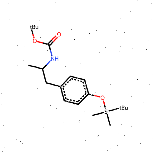 CC(Cc1ccc(O[Si](C)(C)C(C)(C)C)cc1)NC(=O)OC(C)(C)C